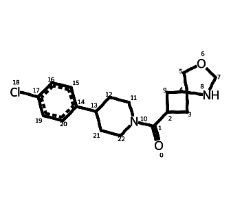 O=C(C1CC2(COCN2)C1)N1CCC(c2ccc(Cl)cc2)CC1